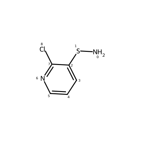 NSc1cccnc1Cl